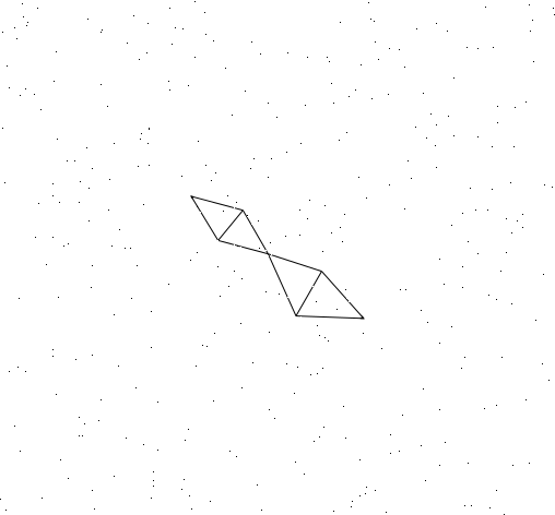 C1C2C1C21C2CC21